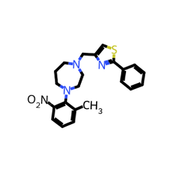 Cc1cccc([N+](=O)[O-])c1N1CCCN(Cc2csc(-c3ccccc3)n2)CC1